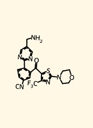 N#Cc1ccc(-c2ncc(CN)cn2)c(C(=O)c2sc(N3CCOCC3)nc2C(F)(F)F)c1